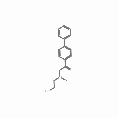 O=C(C[S+]([O-])CCO)c1ccc(-c2ccccc2)cc1